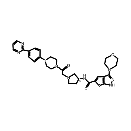 O=C(N[C@H]1CCN(CC(=O)N2CCN(c3ccc(-c4ncccn4)cc3)CC2)C1)c1cc2c(N3CCOCC3)n[nH]c2s1